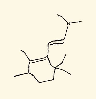 CC1=C(C=CN(C)C)C(C)(C)CCC1C